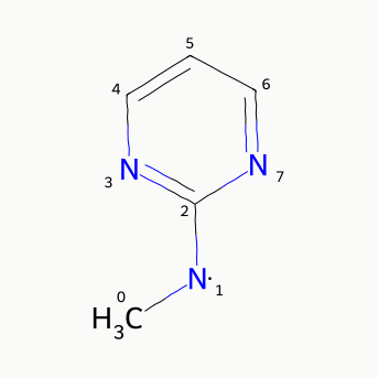 C[N]c1ncccn1